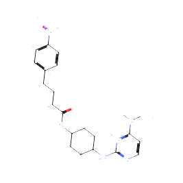 CN(C)c1ccnc(NC2CCC(NC(=O)CCCc3ccc([N+](=O)[O-])cc3)CC2)n1